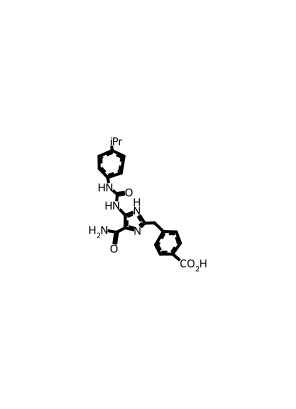 CC(C)c1ccc(NC(=O)Nc2[nH]c(Cc3ccc(C(=O)O)cc3)nc2C(N)=O)cc1